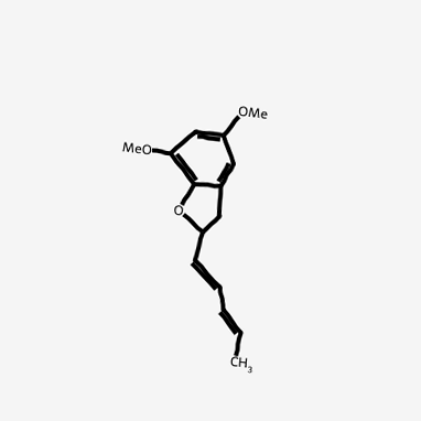 C/C=C/C=C/C1Cc2cc(OC)cc(OC)c2O1